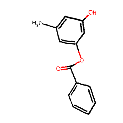 Cc1cc(O)cc(OC(=O)c2ccccc2)c1